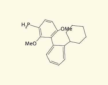 COc1ccc(P)c(OC)c1-c1ccccc1C1CCCCC1